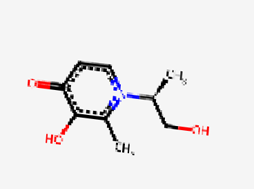 Cc1c(O)c(=O)ccn1[C@@H](C)CO